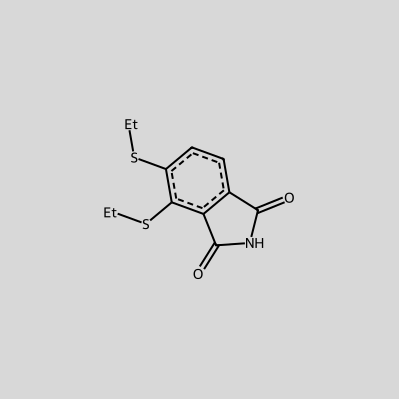 CCSc1ccc2c(c1SCC)C(=O)NC2=O